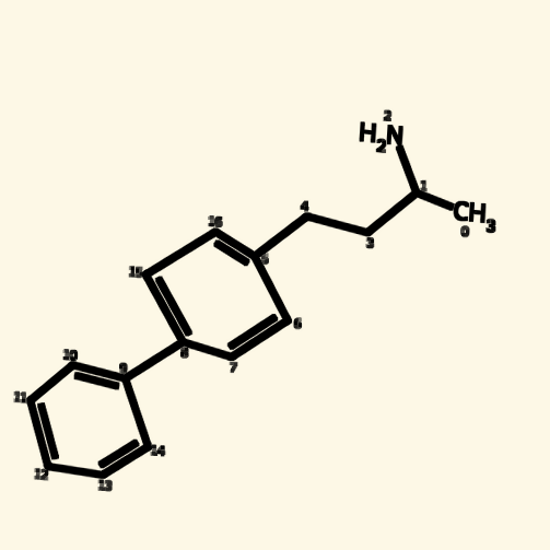 CC(N)CCc1ccc(-c2ccccc2)cc1